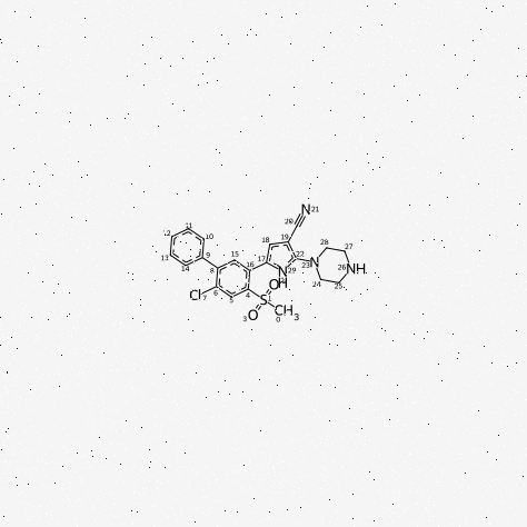 CS(=O)(=O)c1cc(Cl)c(-c2ccccc2)cc1-c1cc(C#N)c(N2CCNCC2)[nH]1